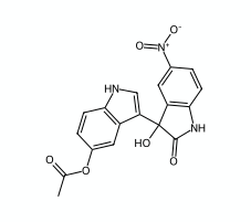 CC(=O)Oc1ccc2[nH]cc(C3(O)C(=O)Nc4ccc([N+](=O)[O-])cc43)c2c1